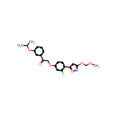 COCOc1cc(-c2ccc(OCC(=O)c3cccc(OC(C)C)c3)cc2F)on1